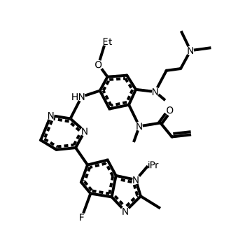 C=CC(=O)N(C)c1cc(Nc2nccc(-c3cc(F)c4nc(C)n(C(C)C)c4c3)n2)c(OCC)cc1N(C)CCN(C)C